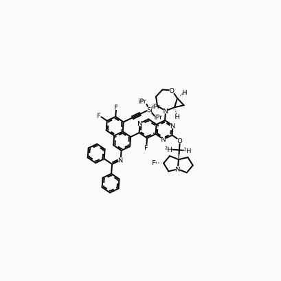 [2H]C([2H])(Oc1nc(N2CCCO[C@H]3C[C@H]32)c2cnc(-c3cc(N=C(c4ccccc4)c4ccccc4)cc4cc(F)c(F)c(C#C[Si](C(C)C)(C(C)C)C(C)C)c34)c(F)c2n1)[C@@]12CCCN1C[C@H](F)C2